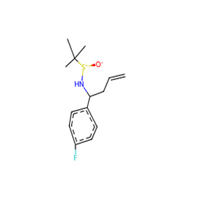 C=CCC(N[S@+]([O-])C(C)(C)C)c1ccc(F)cc1